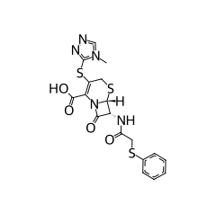 Cn1cnnc1SC1=C(C(=O)O)N2C(=O)[C@@H](NC(=O)CSc3ccccc3)[C@H]2SC1